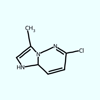 CC1=CNC2C=CC(Cl)=NN12